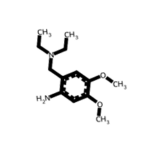 CCN(CC)Cc1cc(OC)c(OC)cc1N